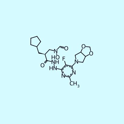 Cc1nc(NNC(=O)[C@@H](CC2CCCC2)CN(O)C=O)c(F)c(N2CC3OCOC3C2)n1